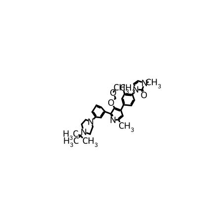 COCOc1c(-c2ccc(-n3ccn(C)c3=O)c(C)c2)cc(C)nc1-c1cccc(N2CCN(C(C)(C)C)CC2)c1